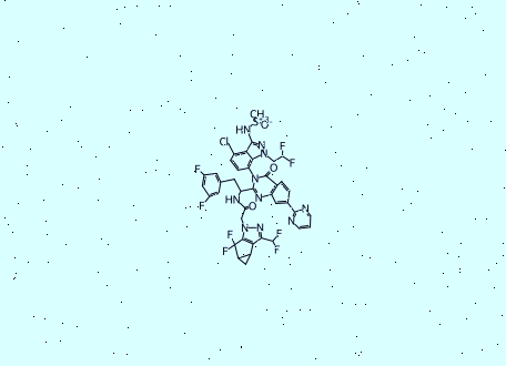 C[S+]([O-])Nc1nn(CC(F)F)c2c(-n3c(C(Cc4cc(F)cc(F)c4)NC(=O)Cn4nc(C(F)F)c5c4C(F)(F)C4CC54)nc4cc(-c5ncccn5)ccc4c3=O)ccc(Cl)c12